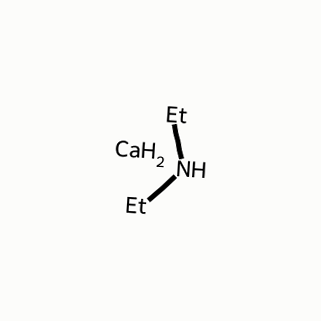 CCNCC.[CaH2]